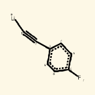 [Li][C]#Cc1ccc(F)cc1